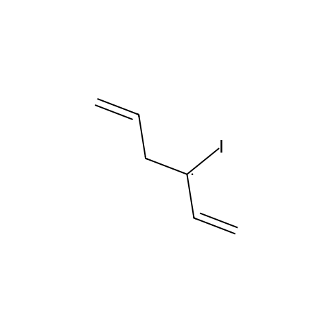 C=CC[C](I)C=C